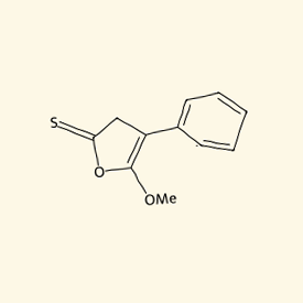 COC1=C(c2[c]cccc2)CC(=S)O1